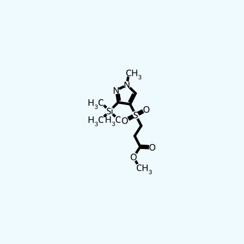 COC(=O)CCS(=O)(=O)c1cn(C)nc1[Si](C)(C)C